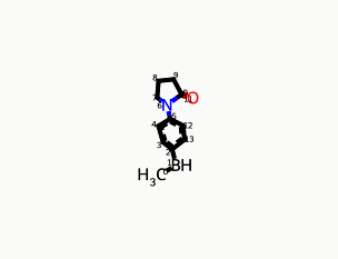 CBc1ccc(N2CCCC2=O)cc1